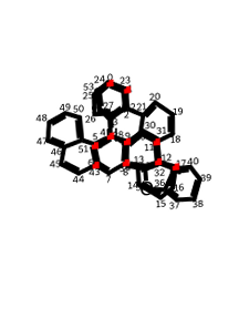 c1ccc(-c2ccccc2-c2c(-c3ccccc3)cccc2-c2ccccc2N(c2ccc3c(c2)oc2ccccc23)c2cccc3ccccc23)cc1